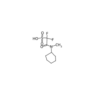 CN(C(=O)C(F)(F)S(=O)(=O)O)C1CCCCC1